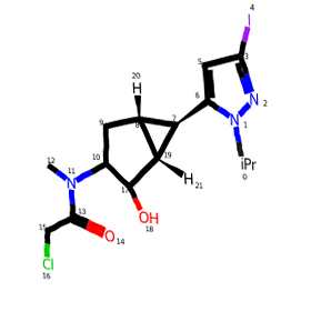 CC(C)n1nc(I)cc1[C@@H]1[C@H]2CC(N(C)C(=O)CCl)C(O)[C@H]21